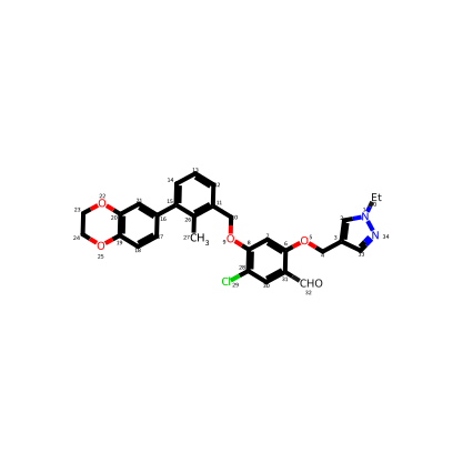 CCn1cc(COc2cc(OCc3cccc(-c4ccc5c(c4)OCCO5)c3C)c(Cl)cc2C=O)cn1